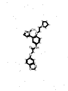 Cn1nccc1-c1cc(NC(=O)COc2ccc3c(c2)OCO3)ccc1OCCN1CCCC1